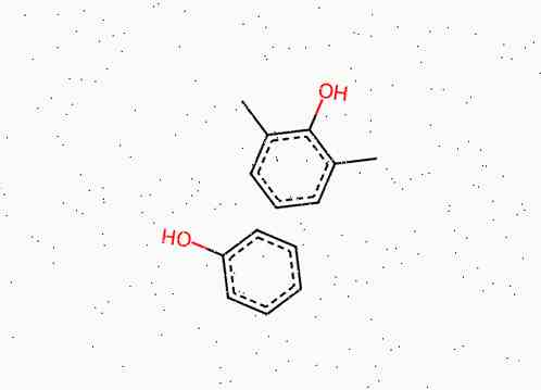 Cc1cccc(C)c1O.Oc1ccccc1